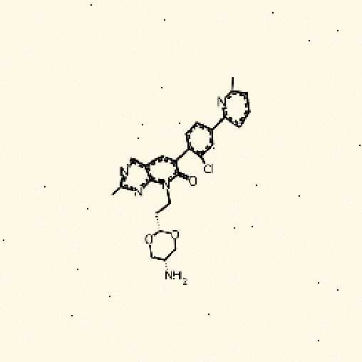 Cc1cccc(-c2ccc(-c3cc4cnc(C)nc4n(CC[C@H]4OC[C@@H](N)CO4)c3=O)c(Cl)c2)n1